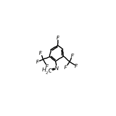 C=Nc1c(C(F)(F)F)cc(F)cc1C(F)(F)F